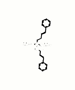 CO[Si](CCC=Cc1ccccc1)(OC)OCC=Cc1ccccc1